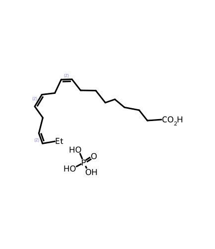 CC/C=C\C/C=C\C/C=C\CCCCCCCC(=O)O.O=P(O)(O)O